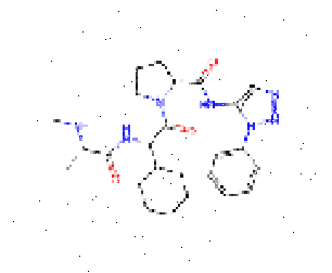 CN[C@@H](C)C(=O)N[C@H](C(=O)N1CCC[C@H]1C(=O)Nc1cnnn1-c1ccccc1)C1CCCCC1